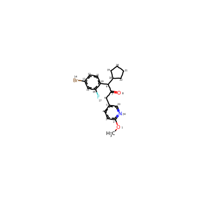 COc1ccc(CC(=O)C(c2ccc(Br)cc2F)C2CCCC2)cn1